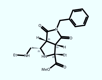 CCNC[C@H]1N[C@@](CC)(C(=O)OC)[C@H]2C(=O)N(Cc3ccccc3)C(=O)[C@@H]12